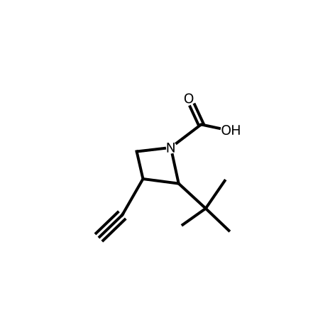 C#CC1CN(C(=O)O)C1C(C)(C)C